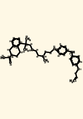 C=CCOc1ccc(Nc2cnc(OCCN(C)CCOCC(C)(C)c3cccc4c3CCN(C(=O)O)C4)nc2)cc1